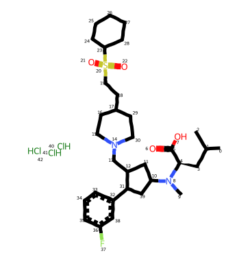 CC(C)C[C@H](C(=O)O)N(C)C1CC(CN2CCC(CCS(=O)(=O)C3CCCCC3)CC2)C(c2cccc(F)c2)C1.Cl.Cl.Cl